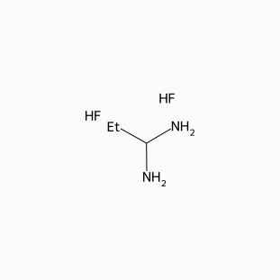 CCC(N)N.F.F